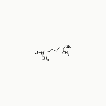 CCN(C)CCCCCC(C)C(C)(C)C